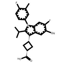 Cc1cc(-n2c(C(C)C)c([C@H]3C[C@@H](C(=O)O)C3)c3cc(O)c(F)cc32)ccc1F